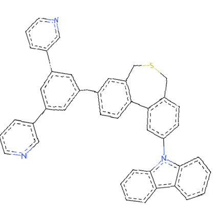 c1cncc(-c2cc(-c3cccnc3)cc(-c3ccc4c(c3)CSCc3ccc(-n5c6ccccc6c6ccccc65)cc3-4)c2)c1